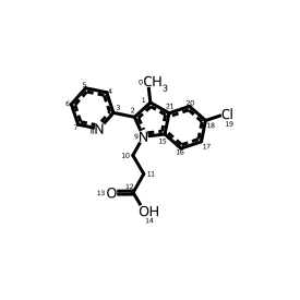 Cc1c(-c2ccccn2)n(CCC(=O)O)c2ccc(Cl)cc12